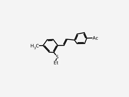 CCSc1cc(C)ccc1C=Cc1ccc(C(C)=O)cc1